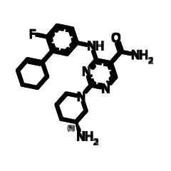 NC(=O)c1cnc(N2CCC[C@H](N)C2)nc1Nc1ccc(F)c(C2=CCCCC2)c1